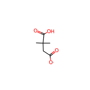 CC(C)(CC([O])=O)C(=O)O